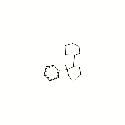 CCC1(c2ccccc2)CCCCC1C1CCCCC1